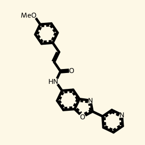 COc1ccc(/C=C/C(=O)Nc2ccc3oc(-c4cccnc4)nc3c2)cc1